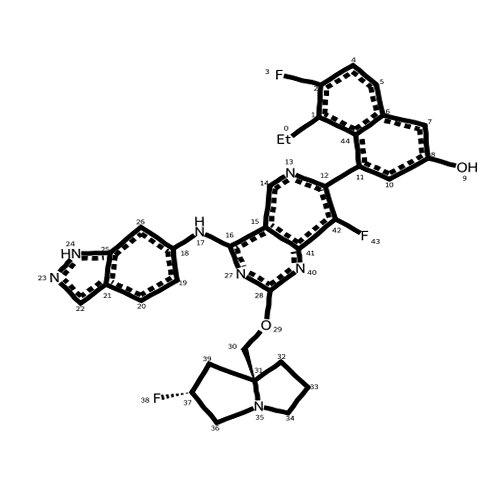 CCc1c(F)ccc2cc(O)cc(-c3ncc4c(Nc5ccc6cn[nH]c6c5)nc(OC[C@@]56CCCN5C[C@H](F)C6)nc4c3F)c12